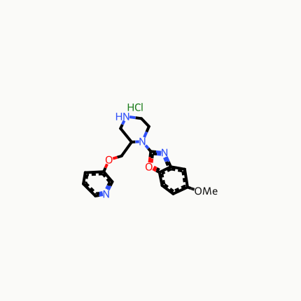 COc1ccc2oc(N3CCNCC3COc3cccnc3)nc2c1.Cl